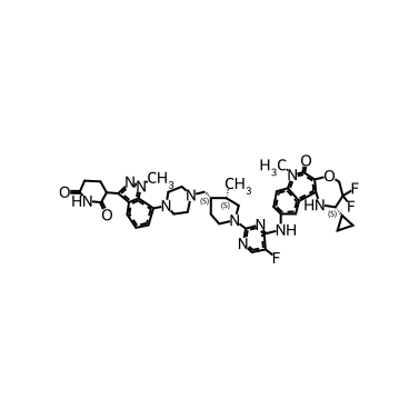 C[C@@H]1CN(c2ncc(F)c(Nc3ccc4c(c3)c3c(c(=O)n4C)OCC(F)(F)[C@H](C4CC4)N3)n2)CC[C@@H]1CN1CCN(c2cccc3c(C4CCC(=O)NC4=O)nn(C)c23)CC1